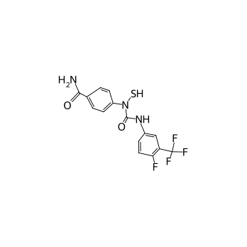 NC(=O)c1ccc(N(S)C(=O)Nc2ccc(F)c(C(F)(F)F)c2)cc1